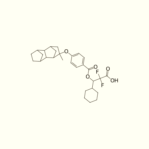 CC1(Oc2ccc(C(=O)OC(C3CCCCC3)C(F)(F)C(=O)O)cc2)CC2CC1C1C3CCC(C3)C21